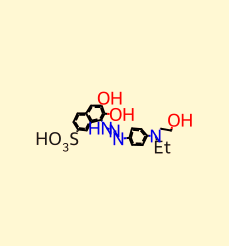 CCN(CCO)c1ccc(N=NNc2c(O)c(O)cc3ccc(S(=O)(=O)O)cc23)cc1